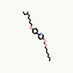 CCCCCCCOCOc1ccc(-c2ccc(OCCCCCC(C)CC)cc2)nc1